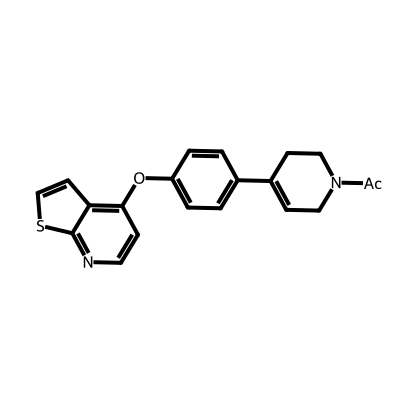 CC(=O)N1CC=C(c2ccc(Oc3ccnc4sccc34)cc2)CC1